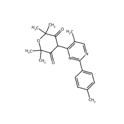 Cc1ccc(-c2ncc(C)c(C3C(=O)C(C)(C)OC(C)(C)C3=O)n2)cc1